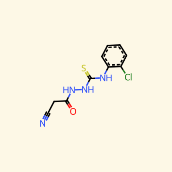 N#CCC(=O)NNC(=S)Nc1ccccc1Cl